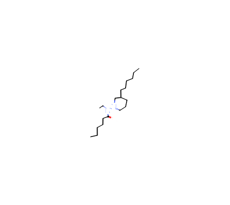 CCCCCCC1CCCN(N(CC)C(=O)CCCCC)C1